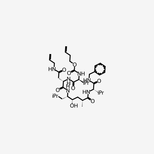 C=CCCOC(=O)N[C@H](C(=O)N[C@@H](CC(=O)NCC=C)C(=O)N[C@@H](CC(C)C)[C@@H](O)C[C@@H](C)C(=O)N[C@H](C(=O)NCc1ccccc1)C(C)C)C(C)C